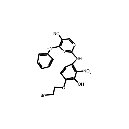 N#Cc1cnc(Nc2ccc(OCCBr)c(O)c2[N+](=O)[O-])nc1Nc1ccccc1